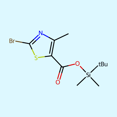 Cc1nc(Br)sc1C(=O)O[Si](C)(C)C(C)(C)C